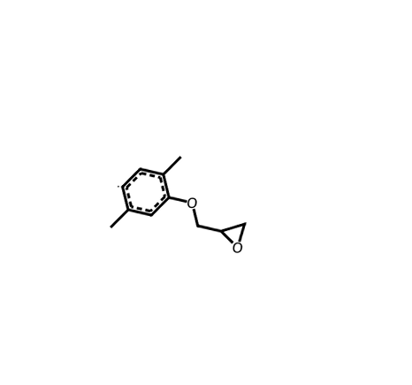 Cc1[c]cc(C)c(OCC2CO2)c1